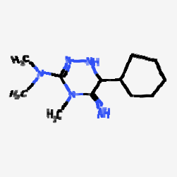 CN(C)C1=NNC(C2CCCCC2)C(=N)N1C